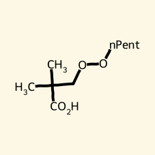 CCCCCOOCC(C)(C)C(=O)O